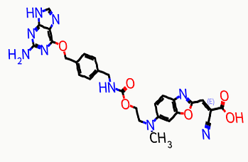 CN(CCOC(=O)NCc1ccc(COc2nc(N)nc3[nH]cnc23)cc1)c1ccc2nc(/C=C(\C#N)C(=O)O)oc2c1